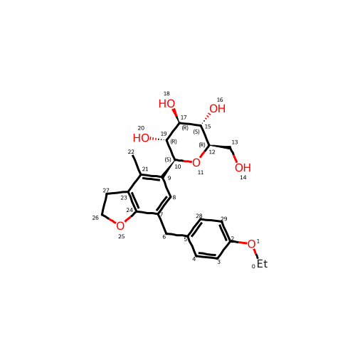 CCOc1ccc(Cc2cc([C@@H]3O[C@H](CO)[C@@H](O)[C@H](O)[C@H]3O)c(C)c3c2OCC3)cc1